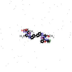 COC[C@H]1C[C@@H](c2nc3ccc4cc(-c5ccc6c(ccc7nc([C@@H]8C[C@H](C)CN8C(=O)[C@@H](NC(=O)O)C(C)C)[nH]c76)c5)ccc4c3[nH]2)N(C(=O)[C@H](NC(=O)C2CC(F)(F)C2)c2ccccc2)C1